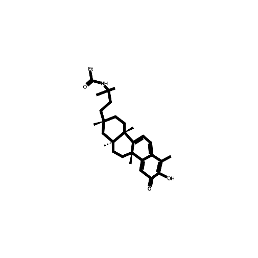 CCC(=O)NC(C)(C)CC[C@]1(C)CC[C@]2(C)C3=CC=C4C(=CC(=O)C(O)=C4C)[C@]3(C)CC[C@@]2(C)C1